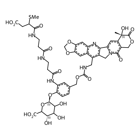 CSC(CC(=O)O)C(=O)NCCC(=O)NCCC(=O)Nc1cc(COC(=O)NCc2c3c(nc4cc5c(cc24)OCO5)-c2cc4c(c(=O)n2C3)COC(=O)[C@@]4(C)O)ccc1O[C@@H]1OC(C(=O)O)[C@@H](O)C(O)C1O